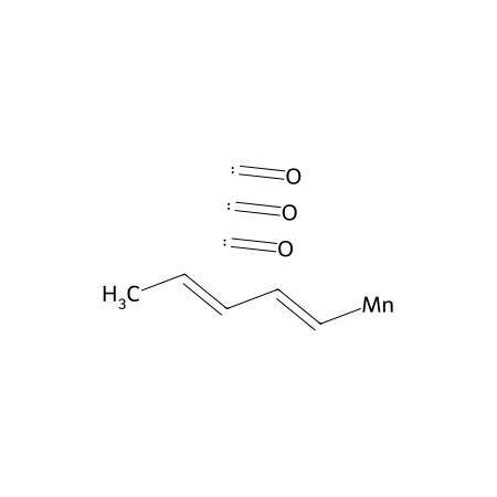 CC=CC=[CH][Mn].[C]=O.[C]=O.[C]=O